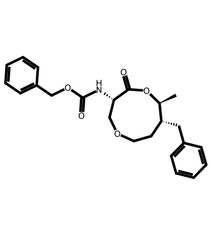 C[C@@H]1OC(=O)[C@@H](NC(=O)OCc2ccccc2)COCC[C@H]1Cc1ccccc1